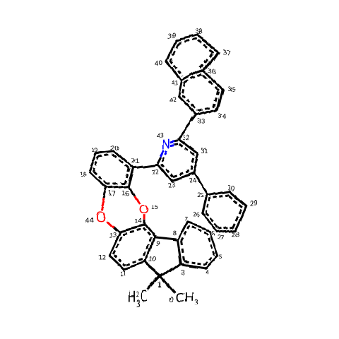 CC1(C)c2ccccc2-c2c1ccc1c2Oc2c(cccc2-c2cc(-c3ccccc3)cc(-c3ccc4ccccc4c3)n2)O1